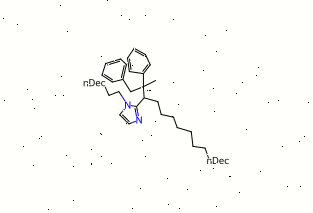 CCCCCCCCCCCCCCCCCC(c1nccn1CCCCCCCCCCCC)C(C)(Cc1ccccc1)c1ccccc1